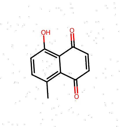 Cc1ccc(O)c2c1C(=O)C=CC2=O